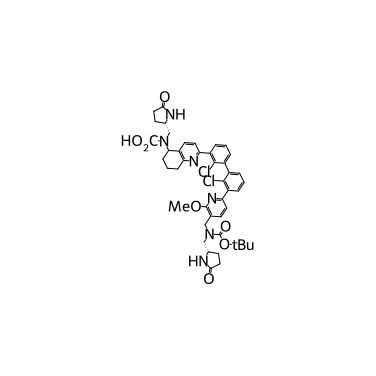 COc1nc(-c2cccc(-c3cccc(-c4ccc5c(n4)CCCC5N(C[C@@H]4CCC(=O)N4)C(=O)O)c3Cl)c2Cl)ccc1CN(C[C@@H]1CCC(=O)N1)C(=O)OC(C)(C)C